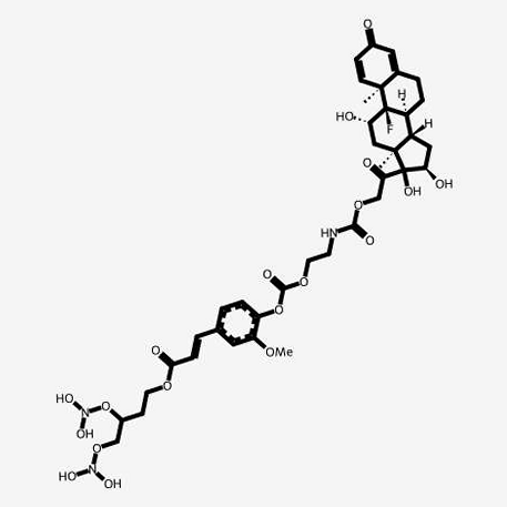 COc1cc(/C=C/C(=O)OCCC(CON(O)O)ON(O)O)ccc1OC(=O)OCCNC(=O)OCC(=O)C1(O)[C@H](O)C[C@H]2[C@@H]3CCC4=CC(=O)C=C[C@]4(C)[C@@]3(F)[C@@H](O)C[C@@]21C